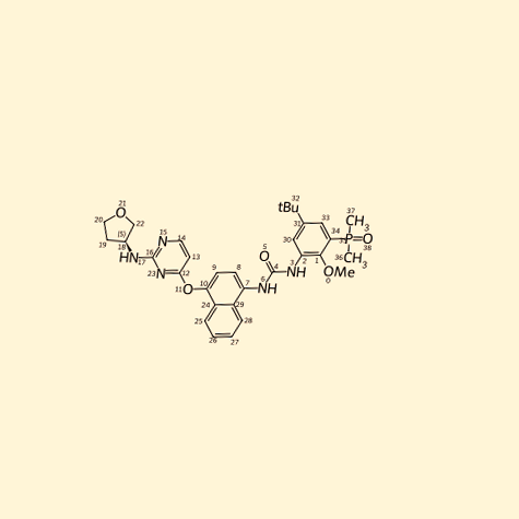 COc1c(NC(=O)Nc2ccc(Oc3ccnc(N[C@H]4CCOC4)n3)c3ccccc23)cc(C(C)(C)C)cc1P(C)(C)=O